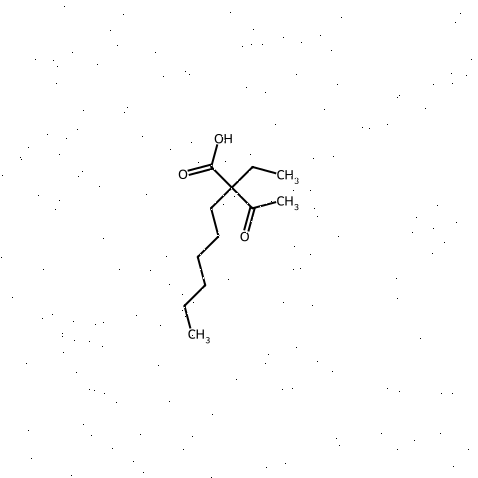 CCCCCCC(CC)(C(C)=O)C(=O)O